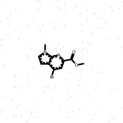 COC(=O)c1cc(Br)c2ccn(C)c2n1